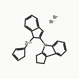 C1=CC[C]([Zr+2][CH]2C(n3c4c(c5ccccc53)CCC4)=Cc3ccccc32)=C1.[Br-].[Br-]